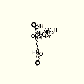 CC(C)CC(CNC(=O)O)C(=O)N[C@@H](Cc1c[nH]c2ccccc12)C(=O)NCCCCCCNC(=O)OCc1ccccc1